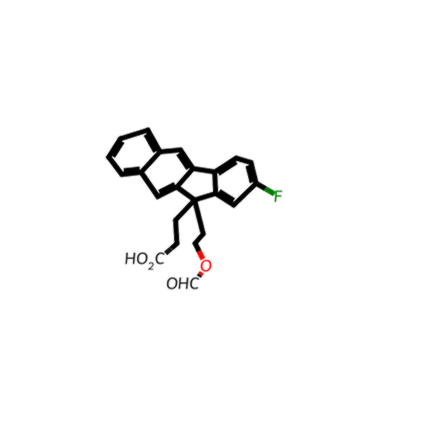 O=COCCC1(CCC(=O)O)c2cc(F)ccc2-c2cc3ccccc3cc21